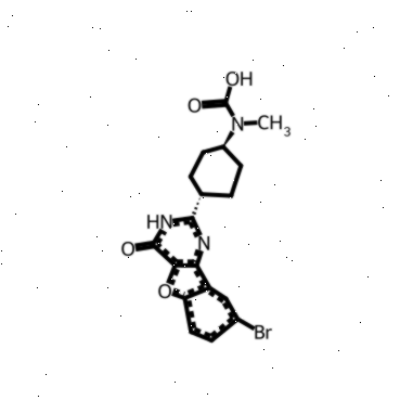 CN(C(=O)O)[C@H]1CC[C@H](c2nc3c(oc4ccc(Br)cc43)c(=O)[nH]2)CC1